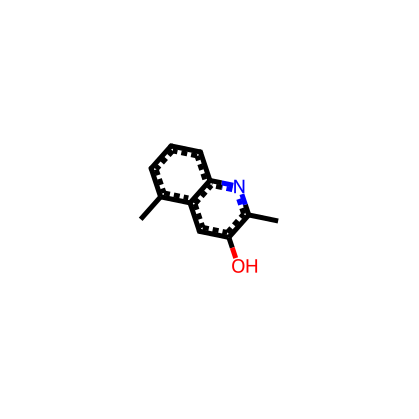 Cc1nc2cccc(C)c2cc1O